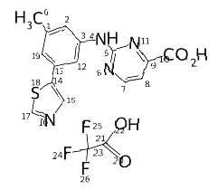 Cc1cc(Nc2nccc(C(=O)O)n2)cc(-c2cncs2)c1.O=C(O)C(F)(F)F